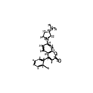 Cc1ccccc1-c1cc(=O)oc2nc(N3CCC(N(C)C)C3)ccc12